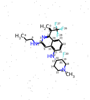 C=C(c1nc(NCCC)cc2c(N[C@H]3CCN(C)C[C@H]3F)cccc12)C(F)(F)F